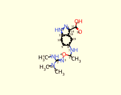 CN/C(=N\OC(C)Nc1ccc2[nH]nc(C(=O)O)c2c1)N(C)C